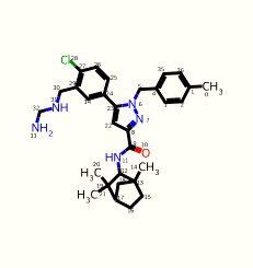 Cc1ccc(Cn2nc(C(=O)NC3C4(C)CCC(C4)C3(C)C)cc2-c2ccc(Cl)c(CNCN)c2)cc1